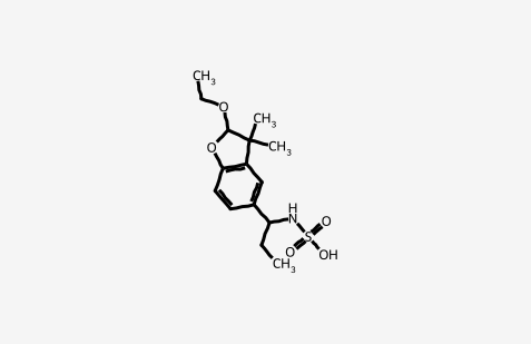 CCOC1Oc2ccc(C(CC)NS(=O)(=O)O)cc2C1(C)C